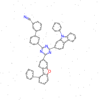 N#Cc1cccc(-c2cccc(-c3nc(-c4ccc5c(c4)oc4cccc(-c6ccccc6)c45)nc(-c4ccc5c6ccccc6n(-c6ccccc6)c5c4)n3)c2)c1